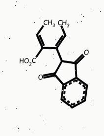 C/C=C(\C(=C/C)C(=O)O)C1C(=O)c2ccccc2C1=O